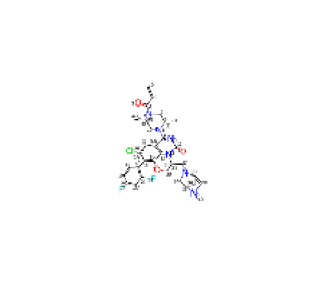 C=CC(=O)N1C[C@H](C)N(c2nc(=O)n3c4c(c(-c5ccc(F)cc5F)c(Cl)cc24)OC[C@@H]3CN2CC3CC2=CN3C)C[C@H]1C